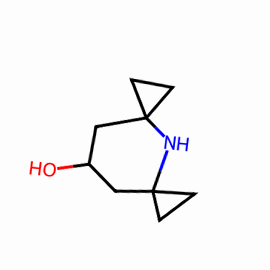 OC1CC2(CC2)NC2(CC2)C1